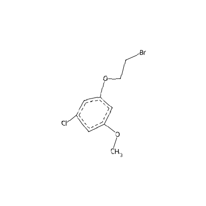 COc1cc(Cl)cc(OCCBr)c1